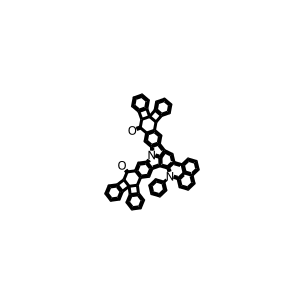 O=C1c2cc3c(cc2C2c4ccccc4C24c2ccccc2C14)c1cc2c4cccc5cccc(c54)n(-c4ccccc4)c2c2c4cc5c(cc4n3c12)C(=O)C1c2ccccc2C12c1ccccc1C52